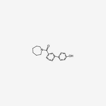 O=C(c1cccc(-c2ccc(O)cc2)c1)N1CCCCCC1